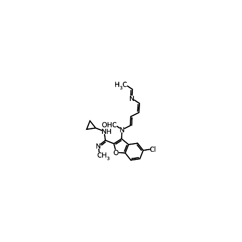 C/C=N/C=C\C=C\N(C=O)c1c(/C(=N\C)NC2CC2)oc2ccc(Cl)cc12